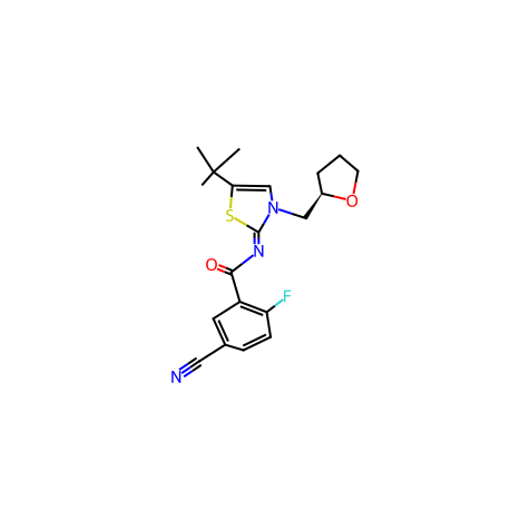 CC(C)(C)c1cn(C[C@H]2CCCO2)/c(=N/C(=O)c2cc(C#N)ccc2F)s1